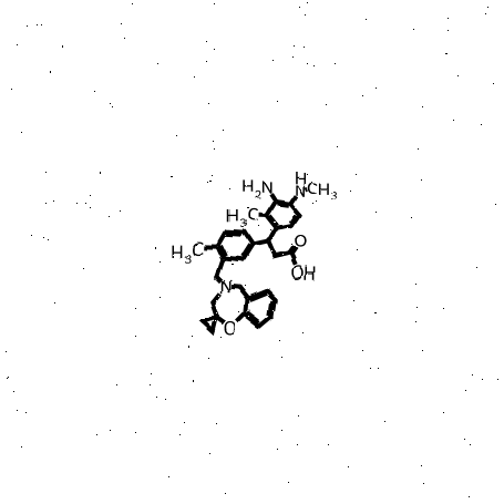 CNc1ccc(C(CC(=O)O)c2ccc(C)c(CN3Cc4ccccc4OC4(CC4)C3)c2)c(C)c1N